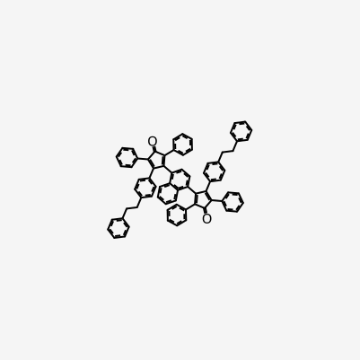 O=C1C(c2ccccc2)=C(c2ccc(CCc3ccccc3)cc2)C(c2ccc(C3=C(c4ccccc4)C(=O)C(c4ccccc4)=C3c3ccc(CCc4ccccc4)cc3)c3ccccc23)=C1c1ccccc1